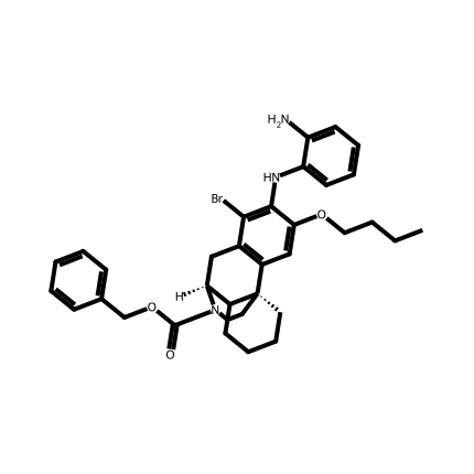 CCCCOc1cc2c(c(Br)c1Nc1ccccc1N)C[C@H]1C3CCCC[C@@]23CCN1C(=O)OCc1ccccc1